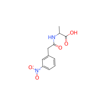 CC(NC(=O)Cc1cccc([N+](=O)[O-])c1)C(=O)O